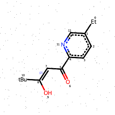 CCc1ccc(C(=O)/C=C(\O)C(C)(C)C)nc1